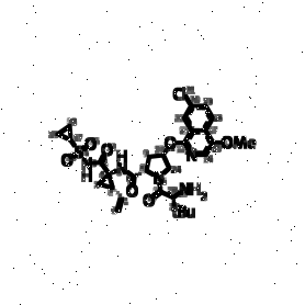 C=C[C@@H]1C[C@]1(NC(=O)[C@@H]1C[C@@H](Oc2ncc(OC)c3ccc(Cl)cc23)CN1C(=O)[C@@H](N)C(C)(C)C)C(=O)NS(=O)(=O)C1CC1